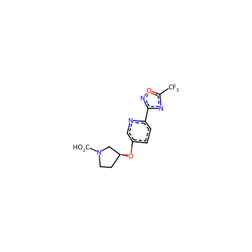 O=C(O)N1CC[C@H](Oc2ccc(-c3noc(C(F)(F)F)n3)nc2)C1